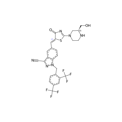 N#Cc1nn(Cc2ccc(C(F)(F)F)cc2C(F)(F)F)c2ccc(/C=C3\SC(N4CCN[C@H](CO)C4)=NC3=O)cc12